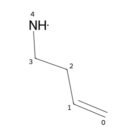 C=CCC[NH]